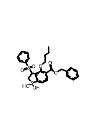 CCCCOc1c(C(=O)OCc2ccccc2)ccc2c1C(S(=O)(=O)c1ccccc1)CS2(O)O